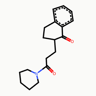 O=C1c2ccccc2CCC1CCC(=O)N1CCCCC1